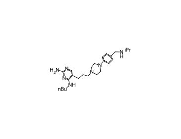 CCCCNc1nc(N)ncc1CCCN1CCN(c2ccc(CNC(C)C)cc2)CC1